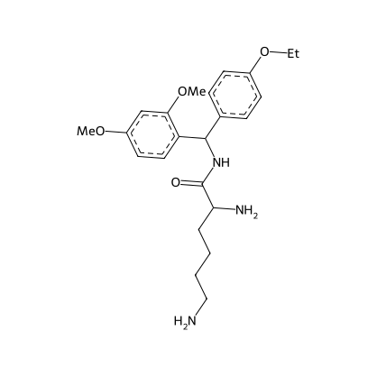 CCOc1ccc(C(NC(=O)C(N)CCCCN)c2ccc(OC)cc2OC)cc1